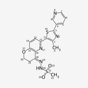 Cc1nc(-c2cccnc2)sc1-c1ccc2c(n1)/C(=N/NS(C)(=O)=O)CCO2